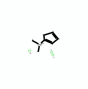 [CH3][Hf+3]([CH3])[C]1=CC=CC1.[Cl-].[Cl-].[Cl-]